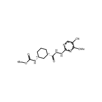 COc1nc(NNC(=O)[C@H]2CCC[C@@H](NC(=O)OC(C)(C)C)C2)ncc1C#N